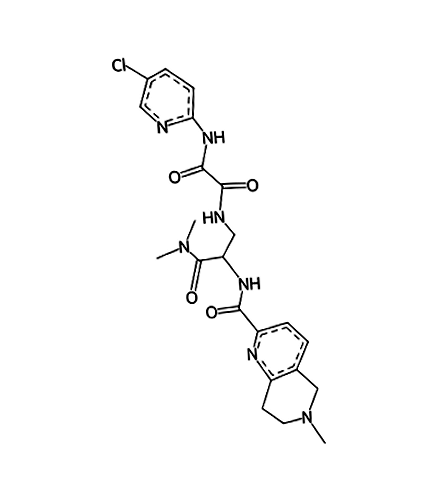 CN1CCc2nc(C(=O)NC(CNC(=O)C(=O)Nc3ccc(Cl)cn3)C(=O)N(C)C)ccc2C1